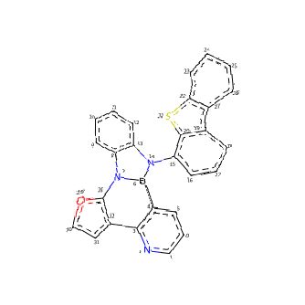 c1cnc2c(c1)B1N(c3ccccc3N1c1cccc3c1sc1ccccc13)c1occc1-2